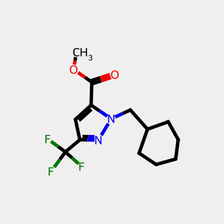 COC(=O)c1cc(C(F)(F)F)nn1CC1CCCCC1